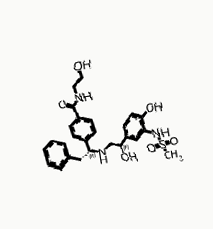 CS(=O)(=O)Nc1cc([C@@H](O)CN[C@H](Cc2ccccc2)c2ccc(C(=O)NCCO)cc2)ccc1O